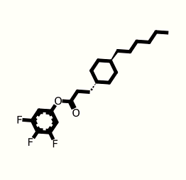 CCCCCC[C@H]1CC[C@H](CCC(=O)Oc2cc(F)c(F)c(F)c2)CC1